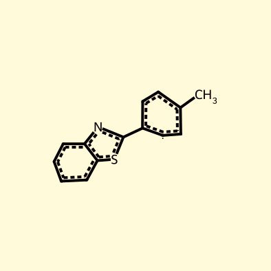 Cc1c[c]c(-c2nc3ccccc3s2)cc1